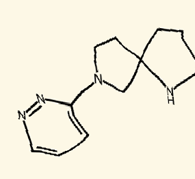 c1cnnc(N2CCC3(CCCN3)C2)c1